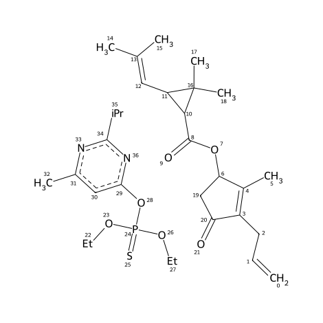 C=CCC1=C(C)C(OC(=O)C2C(C=C(C)C)C2(C)C)CC1=O.CCOP(=S)(OCC)Oc1cc(C)nc(C(C)C)n1